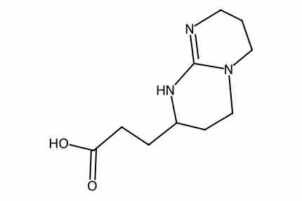 O=C(O)CCC1CCN2CCCN=C2N1